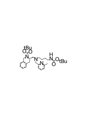 Cc1cccc(CN(CCCCNC(=O)OC(C)(C)C)C[C@H]2Cc3ccccc3CN2C(=O)OC(C)(C)C)n1